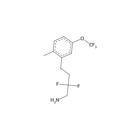 Cc1ccc(OC(F)(F)F)cc1CCC(F)(F)CN